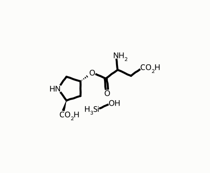 NC(CC(=O)O)C(=O)O[C@H]1CN[C@H](C(=O)O)C1.O[SiH3]